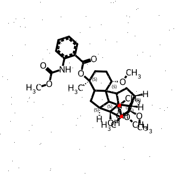 CCN(C)C1[C@@H]2CC3C1(C1C[C@@H]4[C@@H](OC)C[C@@]2(O)[C@@]1(O)[C@H]4OC)[C@@H](OC)CC[C@]3(C)OC(=O)c1ccccc1NC(=O)OC